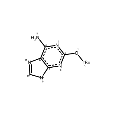 CC(C)(C)Oc1nc(N)c2c(n1)[N]C=N2